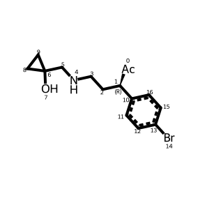 CC(=O)[C@H](CCNCC1(O)CC1)c1ccc(Br)cc1